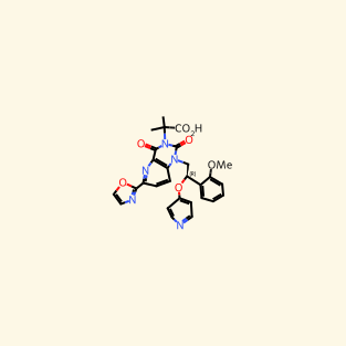 COc1ccccc1[C@H](Cn1c(=O)n(C(C)(C)C(=O)O)c(=O)c2nc(-c3ncco3)ccc21)Oc1ccncc1